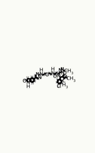 Cc1sc2c(c1C)C(c1ccc(Cl)cc1)=N[C@@H](CC(=O)NCCOCCNc1ncc(-c3ccc4c(c3)CC(=O)N4)cn1)c1nnc(C)n1-2